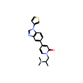 CC(Cn1ccc(-c2ccc3c(c2)ncn3-c2ccsc2)cc1=O)[As](C)C